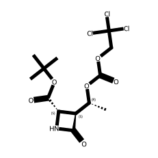 C[C@@H](OC(=O)OCC(Cl)(Cl)Cl)[C@H]1C(=O)N[C@@H]1C(=O)OC(C)(C)C